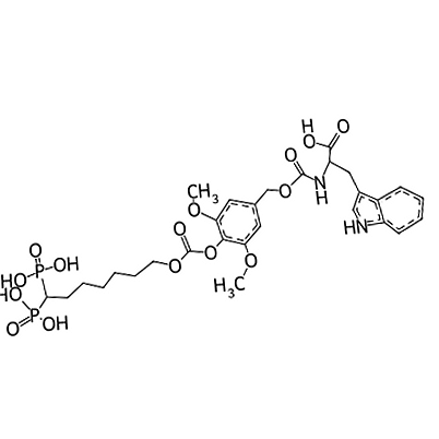 COc1cc(COC(=O)NC(Cc2c[nH]c3ccccc23)C(=O)O)cc(OC)c1OC(=O)OCCCCCCC(P(=O)(O)O)P(=O)(O)O